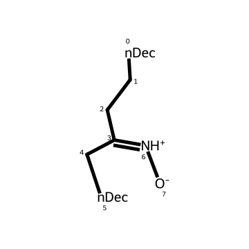 CCCCCCCCCCCCC(CCCCCCCCCCC)=[NH+][O-]